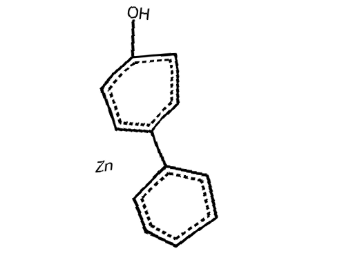 Oc1ccc(-c2ccccc2)cc1.[Zn]